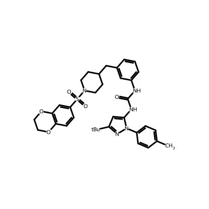 Cc1ccc(-n2nc(C(C)(C)C)cc2NC(=O)Nc2cccc(CC3CCN(S(=O)(=O)c4ccc5c(c4)OCCO5)CC3)c2)cc1